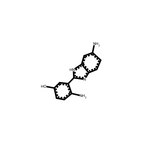 Nc1ccc2nc(-c3cc(O)ccc3N)[nH]c2c1